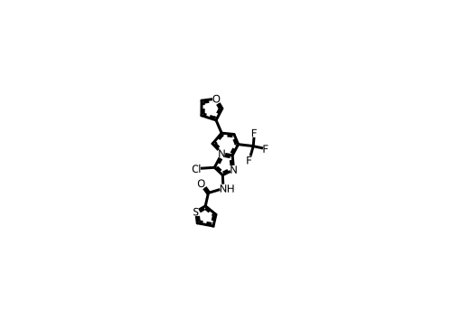 O=C(Nc1nc2c(C(F)(F)F)cc(-c3ccoc3)cn2c1Cl)c1cccs1